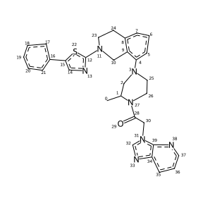 CC1CN(c2cccc3c2CN(c2ncc(-c4ccccc4)s2)CC3)CCN1C(=O)Cn1cnc2cccnc21